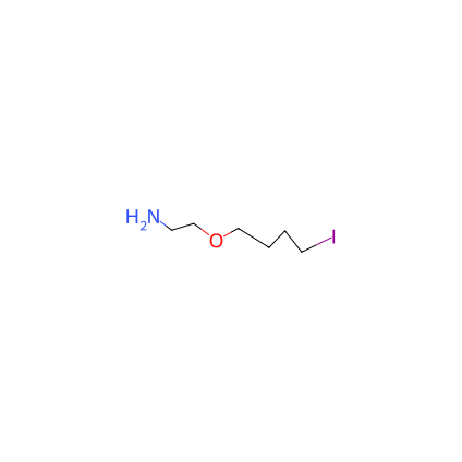 NCCOCCCCI